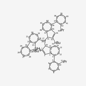 CCCCC1=Cc2c(-c3ccccc3C(C)C)cccc2[CH]1[Hf]([c]1cccc2c1[SiH2]c1ccccc1-2)[CH]1C(CCCC)=Cc2c(-c3ccccc3C(C)C)cccc21